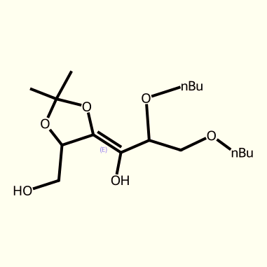 CCCCOCC(OCCCC)/C(O)=C1\OC(C)(C)OC1CO